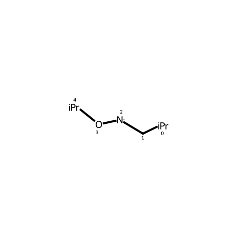 CC(C)C[N]OC(C)C